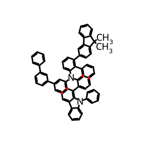 CC1(C)c2ccccc2-c2cc(-c3cccc(N(c4cccc(-c5cccc(-c6ccccc6)c5)c4)c4ccccc4-c4cccc5c6ccccc6n(-c6ccccc6)c45)c3-c3ccccc3)ccc21